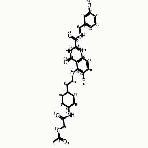 CC(=O)OCC(=O)NC1CCC(CCOc2c(F)ccc3nc(C(=O)NCc4cccc(Cl)c4)[nH]c(=O)c23)CC1